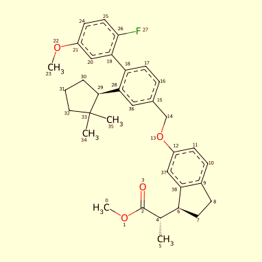 COC(=O)[C@@H](C)[C@@H]1CCc2ccc(OCc3ccc(-c4cc(OC)ccc4F)c([C@@H]4CCCC4(C)C)c3)cc21